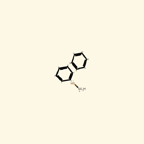 O=S(=O)(O)S.c1ccccc1.c1ccccc1